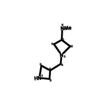 CNC1CN(CC2CNC2)C1